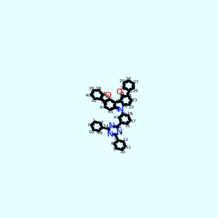 c1ccc(-c2nc(-c3ccccc3)nc(-c3cccc(-n4c5ccc6c7ccccc7oc6c5c5c6oc7ccccc7c6ccc54)c3)n2)cc1